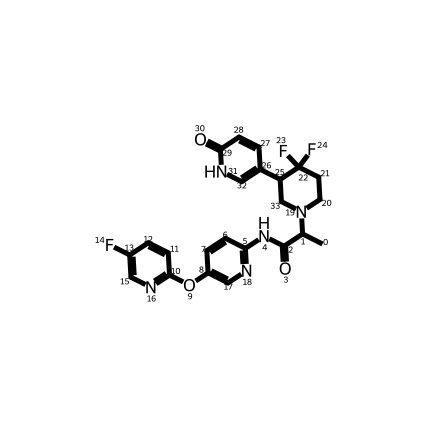 CC(C(=O)Nc1ccc(Oc2ccc(F)cn2)cn1)N1CCC(F)(F)C(c2ccc(=O)[nH]c2)C1